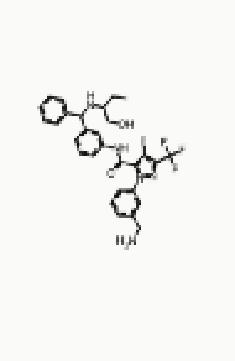 CCC(CO)NC(c1ccccc1)c1cccc(NC(=O)c2c(I)c(C(F)(F)F)nn2-c2cccc(CN)c2)c1